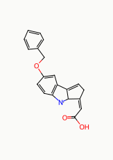 O=C(O)C=C1CC=C2c3cc(OCc4ccccc4)ccc3[N]C12